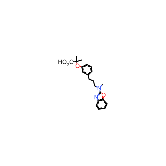 CN(CCCc1cccc(OC(C)(C)C(=O)O)c1)c1nc2ccccc2o1